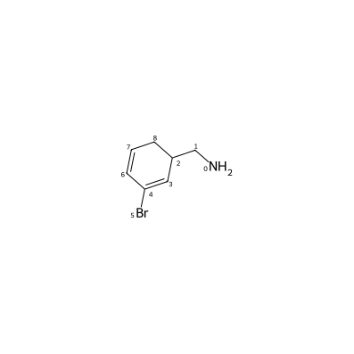 NCC1C=C(Br)C=CC1